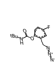 CC(C)(C)NC(=O)Oc1ccc(F)cc1CN=[N+]=[N-]